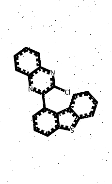 Clc1nc2ccccc2nc1-c1cccc2sc3ccccc3c12